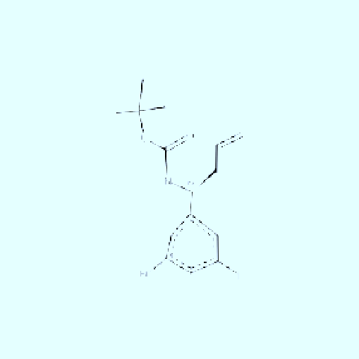 C=CC[C@H](NC(=O)OC(C)(C)C)c1cc(F)cc(Br)c1